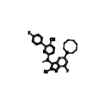 CCn1nc2c(F)cc(N3CCCCCCC3)cc2c1N(C)c1ccc(C#N)c(-c2ccc(F)cc2)n1